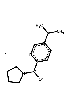 CC(C)c1ccc([S+]([O-])N2CCCC2)nc1